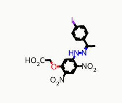 CC(=NNc1cc(OCC(=O)O)c([N+](=O)[O-])cc1[N+](=O)[O-])c1ccc(I)cc1